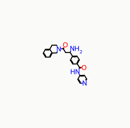 NC(CC(=O)N1CCc2ccccc2C1)c1ccc(C(=O)Nc2ccncc2)cc1